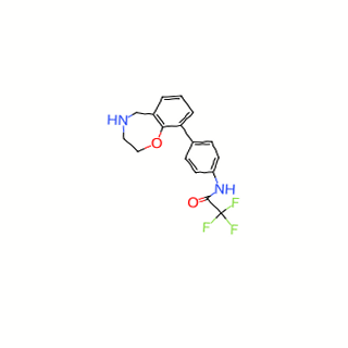 O=C(Nc1ccc(-c2cccc3c2OCCNC3)cc1)C(F)(F)F